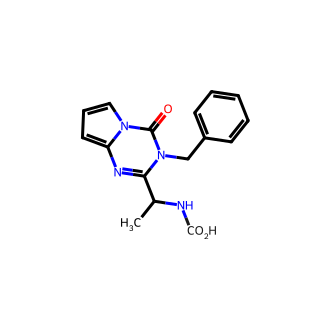 CC(NC(=O)O)c1nc2cccn2c(=O)n1Cc1ccccc1